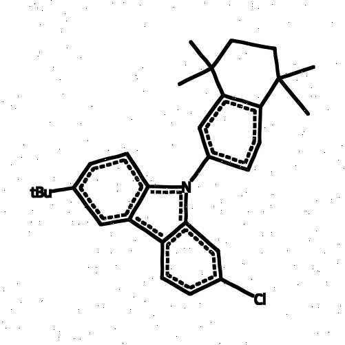 CC(C)(C)c1ccc2c(c1)c1ccc(Cl)cc1n2-c1ccc2c(c1)C(C)(C)CCC2(C)C